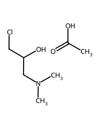 CC(=O)O.CN(C)CC(O)CCl